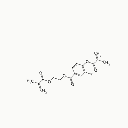 C=C(C)C(=O)OCCOC(=O)c1ccc(OC(=O)C(=C)C)c(F)c1